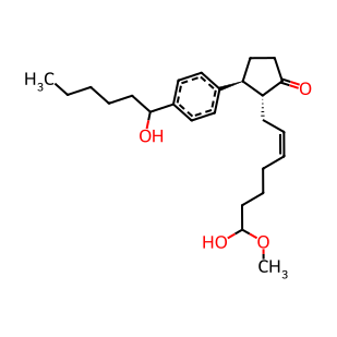 CCCCCC(O)c1ccc([C@H]2CCC(=O)[C@@H]2C/C=C\CCCC(O)OC)cc1